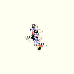 C=CCNC(=O)C(=O)C(CCC(F)(F)F)NC(=O)[C@@H]1[C@@H]2[C@H](CN1C(=O)[C@@H](NC(=O)N[C@H](CN(C)S(=O)(=O)c1cccs1)[C@@H](C)CC)C(C)(C)C)C2(C)C